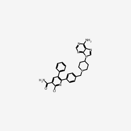 NC(=O)c1cc(-c2ccccc2)c(-c2ccc(CN3CCC(n4cnc5c(N)ncnc54)CC3)cc2)nc1Cl